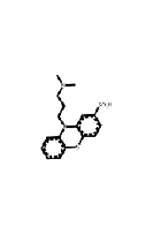 CN(C)CCCN1c2ccccc2Sc2ccc(S(=O)(=O)O)cc21